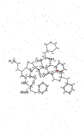 CN[C@@H](Cc1ccccc1)C(=O)N[C@@H](CCCCN)C(=O)N1CCC[C@H]1C(=O)N(C(=O)[C@H](N)CC1CCCCC1)[C@@H](Cc1ccccc1)C(=O)N1CCC(Cc2ccccc2)CC1